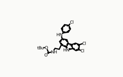 CC(C)(C)OC(=O)NCCc1cc(Nc2ccc(Cl)cc2)cc2c1[nH]c1cc(Cl)c(Cl)cc12